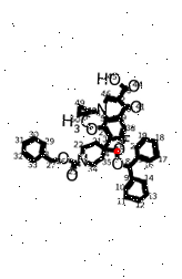 COc1c(C2(C(=O)OC(c3ccccc3)c3ccccc3)CCN(C(=O)OCc3ccccc3)CC2)c(F)cc2c(=O)c(C(=O)O)cn(C3CC3)c12